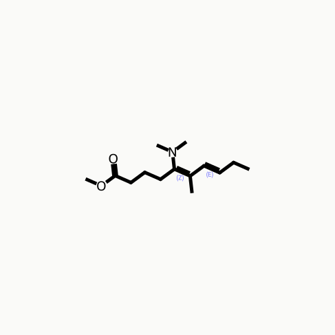 CC/C=C/C(C)=C(/CCCC(=O)OC)N(C)C